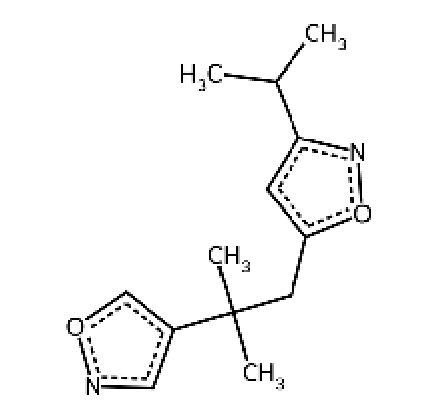 CC(C)c1cc(CC(C)(C)c2cnoc2)on1